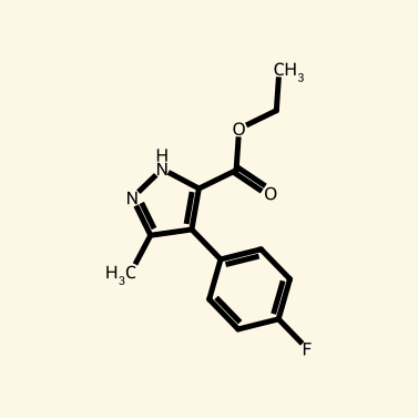 CCOC(=O)c1[nH]nc(C)c1-c1ccc(F)cc1